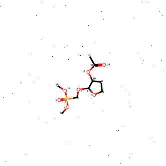 COP(=O)(COC1OCCC1OC(C)=O)OC